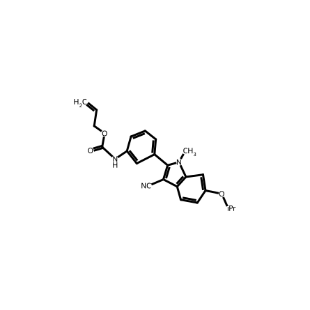 C=CCOC(=O)Nc1cccc(-c2c(C#N)c3ccc(OC(C)C)cc3n2C)c1